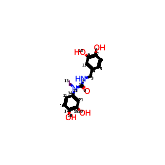 O=C(NCc1ccc(O)c(O)c1)N(I)c1ccc(O)c(O)c1